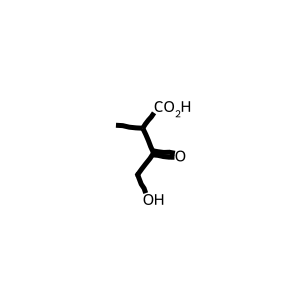 CC(C(=O)O)C(=O)CO